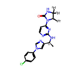 [2H]C1([2H])NC(=O)N(c2ccnc(N[C@@H](C)c3cn(-c4ccc(Cl)cc4)cn3)n2)C1C(C)C